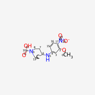 COc1cc(NC2CCN(C(=O)O)CC2)ccc1[N+](=O)[O-]